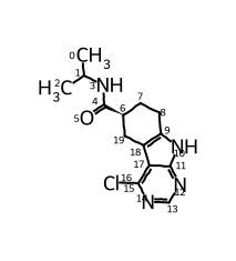 CC(C)NC(=O)[C@H]1CCc2[nH]c3ncnc(Cl)c3c2C1